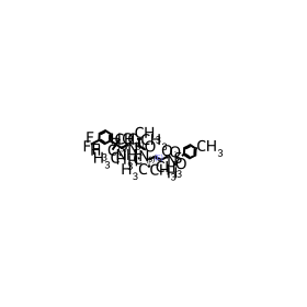 CN[C@H](C(=O)N[C@H](C(=O)N(C)[C@H](/C=C(\C)C(=O)NS(=O)(=O)c1ccc(C)cc1)C(C)C)C(C)(C)C)C(C)(C)c1cccc(C(F)(F)F)c1